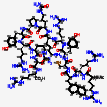 CC(=O)N[C@@H](CCCNC(=N)N)C(=O)N[C@@H](CCCNC(=N)N)C(=O)N[C@@H](Cc1ccc2ccccc2c1)C(=O)N[C@@H](CS)C(=O)N[C@@H](Cc1ccc(O)cc1)C(=O)N[C@@H](CCCNC(=N)N)C(=O)N[C@@H](CCCCN)C(=O)N[C@H](CCCNC(N)=O)C(=O)N1CCC[C@H]1C(=O)N[C@@H](Cc1ccc(O)cc1)C(=O)N[C@@H](CCCNC(=N)N)C(=O)N[C@@H](CCCNC(N)=O)C(=O)N[C@@H](CS)C(=O)N[C@@H](CCCNC(=N)N)C(=O)O